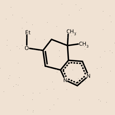 CCOC1=Cc2ncncc2C(C)(C)C1